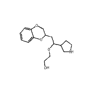 OCCOC(CC1COc2ccccc2O1)C1CCNC1